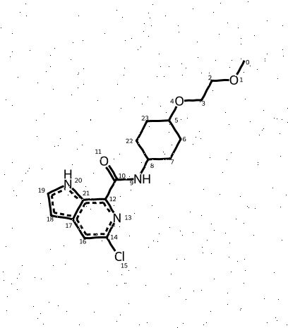 COCCOC1CCC(NC(=O)c2nc(Cl)cc3cc[nH]c23)CC1